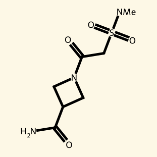 CNS(=O)(=O)CC(=O)N1CC(C(N)=O)C1